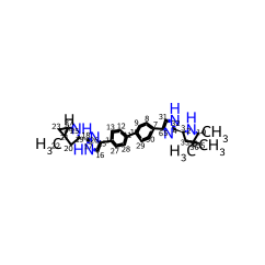 C[C@H]1N[C@H](c2nc(-c3ccc(-c4ccc(-c5c[nH]c([C@@H]6C[C@@]7(C)C[C@H]7N6)n5)cc4)cc3)c[nH]2)CC1(C)C